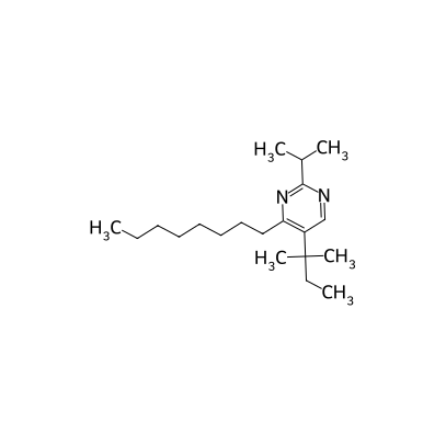 CCCCCCCCc1nc(C(C)C)ncc1C(C)(C)CC